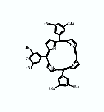 CC(C)(C)c1cc(-c2c3nc(c(-c4cc(C(C)(C)C)cc(C(C)(C)C)c4)c4ccc([nH]4)c(-c4cc(C(C)(C)C)cc(C(C)(C)C)c4)c4nc(cc5ccc2[nH]5)C=C4)C=C3)cc(C(C)(C)C)c1.[Zn]